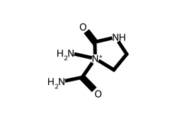 NC(=O)[N+]1(N)CCNC1=O